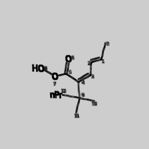 CC=CC=C(C(=O)OO)C(C)(C)CCC